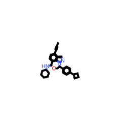 CC#Cc1ccc(C(=O)NC2CCCCC2)c2c1cnn2C(C)c1ccc(C2CCC2)cc1